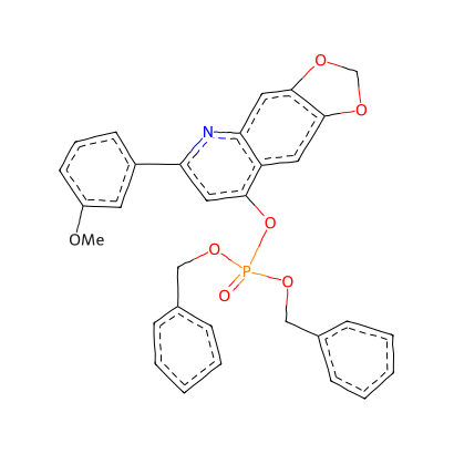 COc1cccc(-c2cc(OP(=O)(OCc3ccccc3)OCc3ccccc3)c3cc4c(cc3n2)OCO4)c1